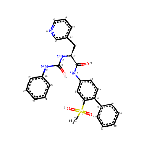 CS(=O)(=O)c1cc(NC(=O)[C@H](Cc2cccnc2)NC(=O)Nc2ccccc2)ccc1-c1ccccc1